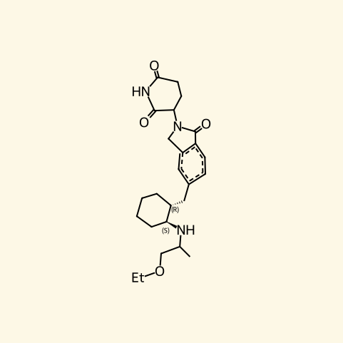 CCOCC(C)N[C@H]1CCCC[C@@H]1Cc1ccc2c(c1)CN(C1CCC(=O)NC1=O)C2=O